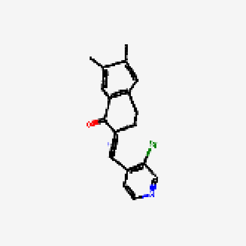 Cc1cc2c(cc1C)C(=O)/C(=C/c1ccncc1Br)CC2